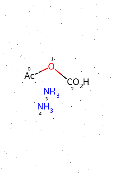 CC(=O)OC(=O)O.N.N